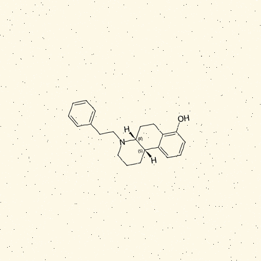 Oc1cccc2c1CC[C@@H]1[C@H]2CCCN1CCc1ccccc1